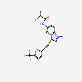 C=C(F)C(=O)Nc1ccc2c(c1)c(C#Cc1ccc(C(F)(F)F)s1)cn2C